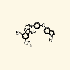 FC(F)(F)c1cc(Br)c2nc(Nc3ccc(Oc4ccc5[nH]ccc5c4)cc3)[nH]c2c1